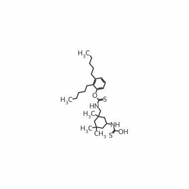 CCCCCc1cccc(OC(=S)NCC2(C)CC(NC(O)=S)CC(C)(C)C2)c1CCCCC